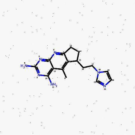 Cc1c2c(nc3nc(N)nc(N)c13)CCC2CCn1ccnc1